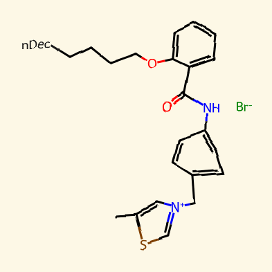 CCCCCCCCCCCCCCOc1ccccc1C(=O)Nc1ccc(C[n+]2csc(C)c2)cc1.[Br-]